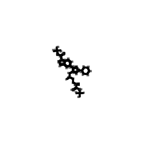 CN(CCNC(=O)OC(C)(C)C)Cc1cn(C2CCCCC2)nc1-c1ccc2c(cnn2C(=O)OC(C)(C)C)c1